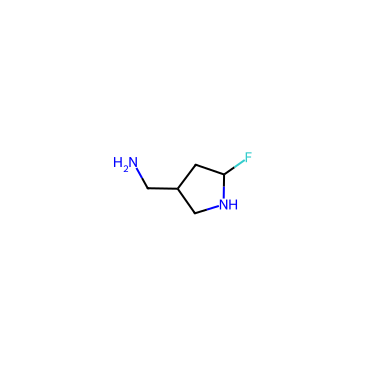 NCC1CNC(F)C1